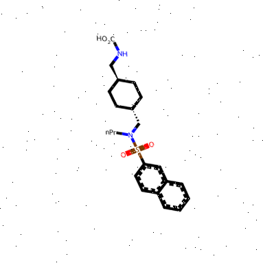 CCCN(C[C@H]1CC[C@H](CNC(=O)O)CC1)S(=O)(=O)c1ccc2ccccc2c1